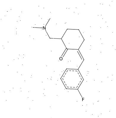 CN(C)CC1CCCC(=Cc2cccc(F)c2)C1=O